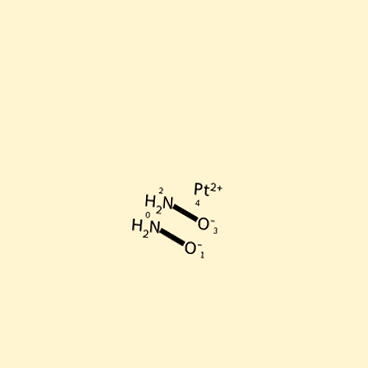 N[O-].N[O-].[Pt+2]